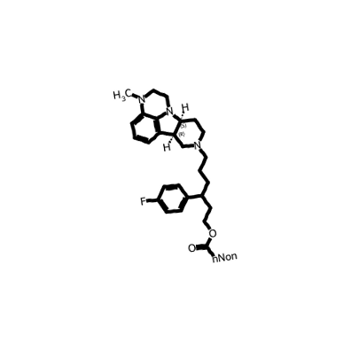 CCCCCCCCCC(=O)OCCC(CCCN1CC[C@H]2[C@@H](C1)c1cccc3c1N2CCN3C)c1ccc(F)cc1